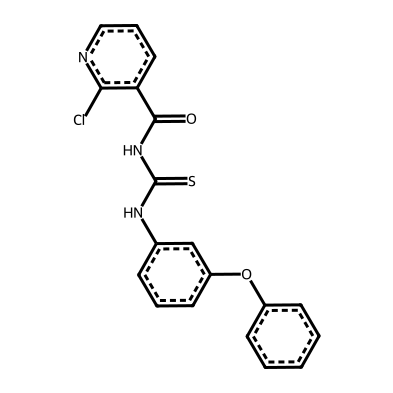 O=C(NC(=S)Nc1cccc(Oc2ccccc2)c1)c1cccnc1Cl